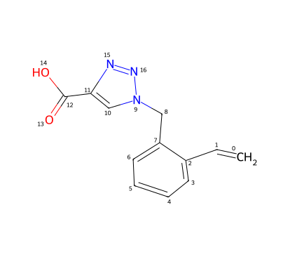 C=Cc1ccccc1Cn1cc(C(=O)O)nn1